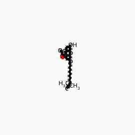 [C-]#[N+]C(C)(C)CCCCCCCCCCOc1ccc2c(c1)Oc1cc(O)ccc1C21OC(=O)c2ccccc21